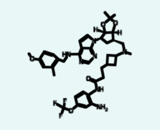 COc1ccc(CNc2ncnc3c2ccn3[C@@H]2C[C@H](CN(C)C3CC(CCC(=O)Nc4ccc(OC(F)(F)F)cc4N)C3)[C@H]3OC(C)(C)O[C@H]32)c(C)c1